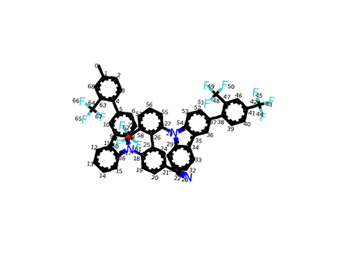 Cc1ccc(-c2ccc3c(c2)c2ccccc2n3-c2ccc(C#N)cc2-c2c(-n3c4ccccc4c4cc(-c5ccc(C(F)(F)F)cc5C(F)(F)F)ccc43)cccc2C(F)(F)F)c(C(F)(F)F)c1